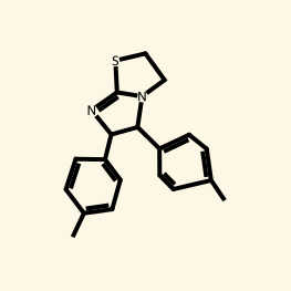 Cc1ccc(C2N=C3SCCN3C2c2ccc(C)cc2)cc1